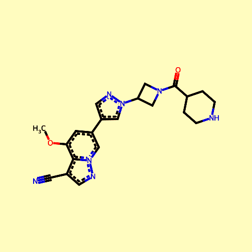 COc1cc(-c2cnn(C3CN(C(=O)C4CCNCC4)C3)c2)cn2ncc(C#N)c12